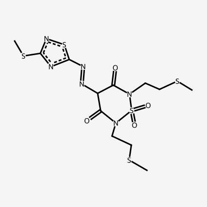 CSCCN1C(=O)C(N=Nc2nc(SC)ns2)C(=O)N(CCSC)S1(=O)=O